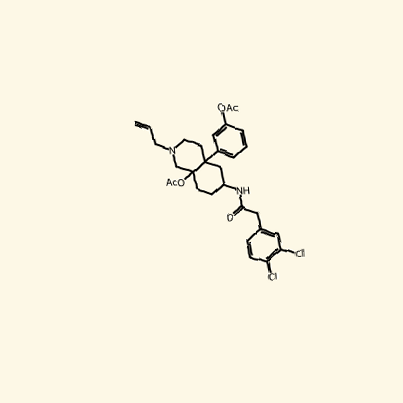 C=CCN1CCC2(c3cccc(OC(C)=O)c3)CC(NC(=O)Cc3ccc(Cl)c(Cl)c3)CCC2(OC(C)=O)C1